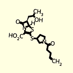 C=CCCC(=O)N1CCC(SC2=C(C(=O)O)N3C(=O)[C@@H](CC(C)O)[C@H]3S2)C1